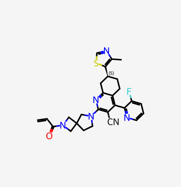 C=CC(=O)N1CC2(CCN(c3nc4c(c(-c5ncccc5F)c3C#N)CC[C@H](c3scnc3C)C4)C2)C1